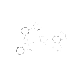 CCCCN(C(=O)CN1C[C@H](c2cc(CO)c3c(c2)OCO3)[C@@H](C(=O)O)[C@@H]1CCN1Cc2ccccc2C1=O)c1ccc[n+](C)c1